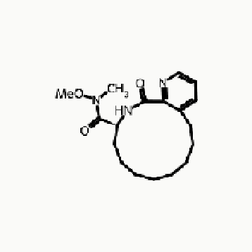 CON(C)C(=O)[C@@H]1CCCCCCCCc2cccnc2C(=O)N1